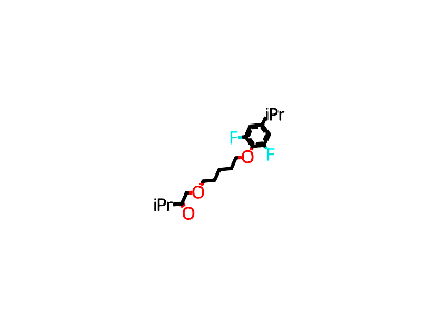 CC(C)C(=O)COCCCCCOc1c(F)cc(C(C)C)cc1F